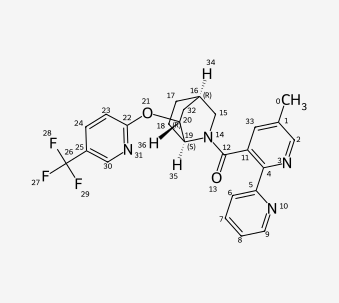 Cc1cnc(-c2ccccn2)c(C(=O)N2C[C@@H]3CC[C@H]2[C@H](Oc2ccc(C(F)(F)F)cn2)C3)c1